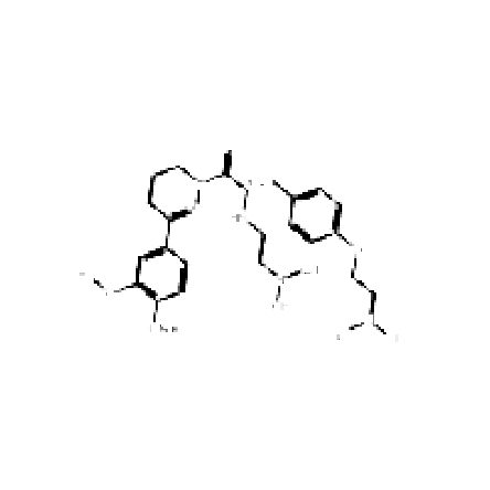 CCOc1cc(C2=NN(C(=O)[C@H](Cc3ccc(OCCN(C)C)cc3)NCCN(C)C)CCC2)ccc1OC